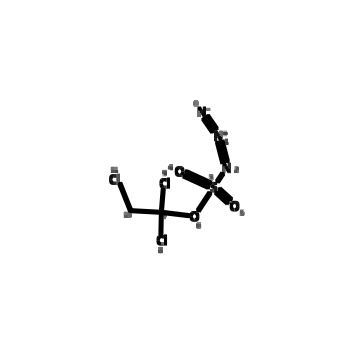 [N-]=[N+]=NS(=O)(=O)OC(Cl)(Cl)CCl